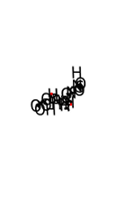 C=C(C)[C@@H]1CC[C@]2(CC(=O)N3CCC(NS(C)(=O)=O)CC3)CC[C@]3(C)[C@H](CC[C@@H]4[C@@]5(C)CC[C@H](OC(=O)CC(C)(C)C(=O)O)C(C)(C)[C@@H]5CC[C@]43C)[C@@H]12